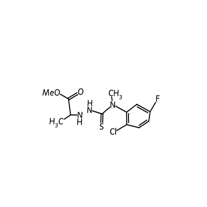 COC(=O)C(C)NNC(=S)N(C)c1cc(F)ccc1Cl